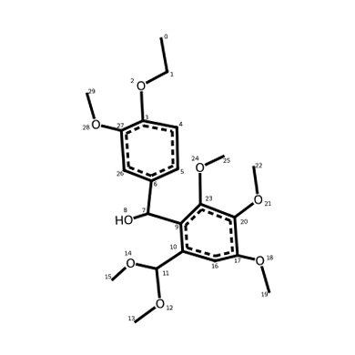 CCOc1ccc(C(O)c2c(C(OC)OC)cc(OC)c(OC)c2OC)cc1OC